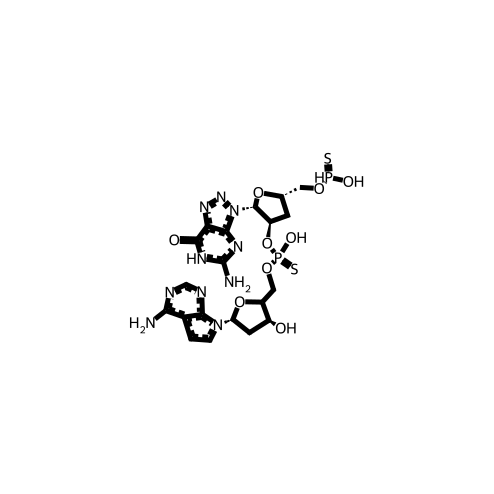 Nc1nc2c(nnn2[C@@H]2O[C@H](CO[PH](O)=S)C[C@H]2OP(O)(=S)OCC2O[C@@H](n3ccc4c(N)ncnc43)C[C@@H]2O)c(=O)[nH]1